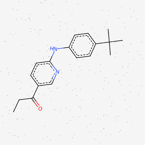 CCC(=O)c1ccc(Nc2ccc(C(C)(C)C)cc2)nc1